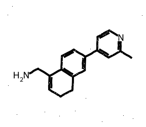 Cc1cc(-c2ccc3c(c2)CCC=C3CN)ccn1